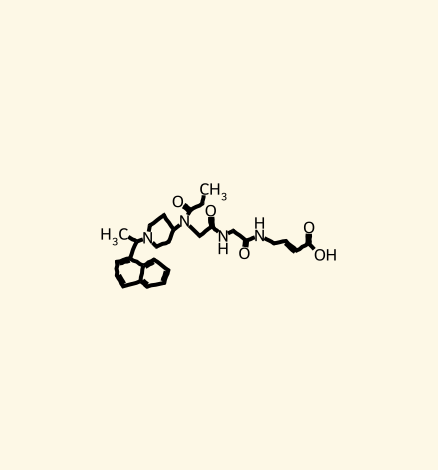 CCC(=O)N(CC(=O)NCC(=O)NC/C=C/C(=O)O)C1CCN(C(C)c2cccc3ccccc23)CC1